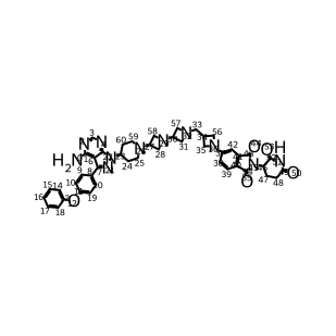 Nc1ncnc2c1c(-c1ccc(Oc3ccccc3)cc1)nn2C1CCN(C2CN(C3CN(CC4CN(c5ccc6c(c5)C(=O)N(C5CCC(=O)NC5=O)C6=O)C4)C3)C2)CC1